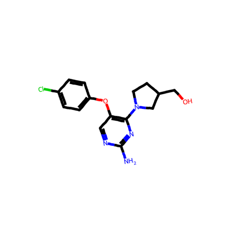 Nc1ncc(Oc2ccc(Cl)cc2)c(N2CCC(CO)C2)n1